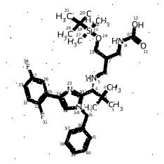 CC(C)(C)[C@@H](NCC(CNC(=O)O)CO[Si](C)(C)C(C)(C)C)c1nc(-c2cc(F)ccc2F)cn1Cc1ccccc1